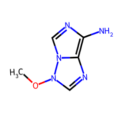 COn1cnc2c(N)ncn21